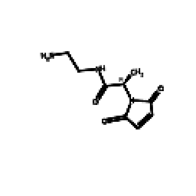 C[C@H](C(=O)NCCN)N1C(=O)C=CC1=O